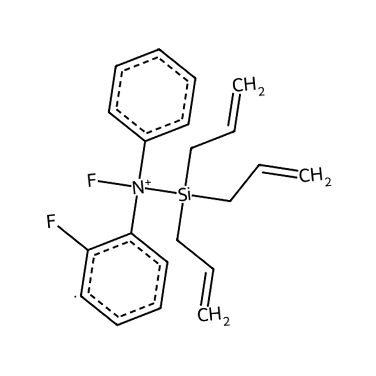 C=CC[Si](CC=C)(CC=C)[N+](F)(c1ccccc1)c1ccc[c]c1F